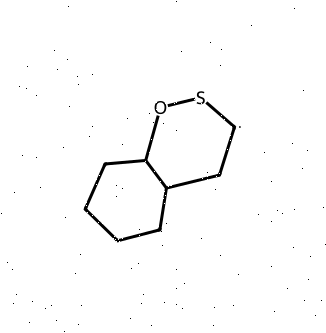 [CH]1CC2CCCCC2OS1